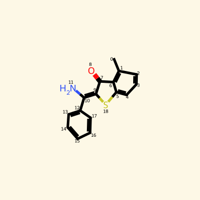 Cc1cccc2c1C(=O)C(=C(N)c1ccccc1)S2